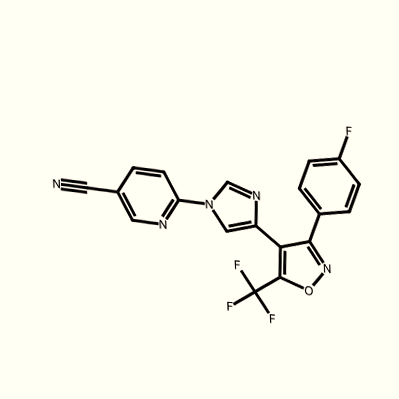 N#Cc1ccc(-n2cnc(-c3c(-c4ccc(F)cc4)noc3C(F)(F)F)c2)nc1